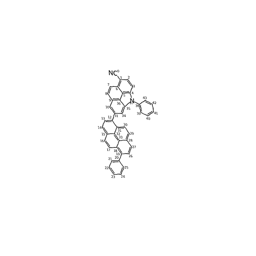 N#Cc1ccc2c3c1ccc1cc(-c4ccc5ccc6c(-c7ccccc7)ccc7ccc4c5c76)cc(c13)n2-c1ccccc1